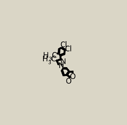 Cc1cc(Cl)c(Cl)cc1C1=NN(c2ccc3c(c2)COC3=O)CC1C